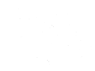 CC1(C)CC(=O)c2sc(N3CCOCC3)c(-c3ccnc(-c4cccc(S(C)(=O)=O)c4)c3)c2C1